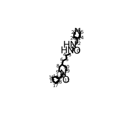 O=C(NCCCCC1CCN(C(=O)c2ccccc2)CC1)NCc1ccncc1